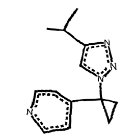 CC(C)c1cn(C2(c3ccncc3)CC2)nn1